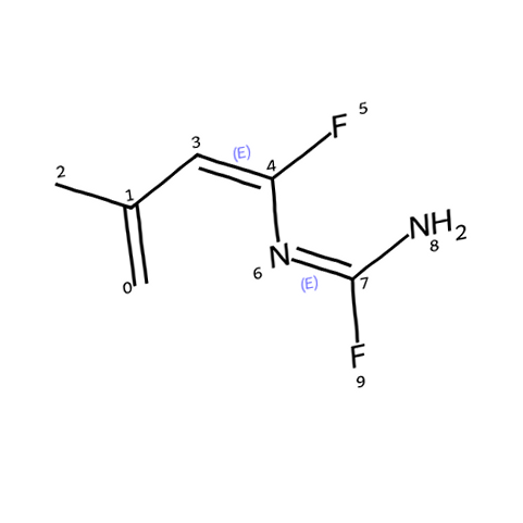 C=C(C)/C=C(F)\N=C(/N)F